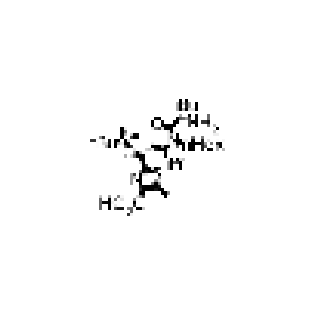 CCCCCCN(C(=O)[C@@H](N)[C@@H](C)CC)[C@H](C[C@@H](O[Si](C)(C)C(C)(C)C)c1nc(C(=O)O)c(C)s1)C(C)C